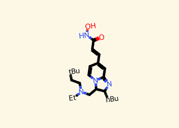 CCCCC1N=C2C=C(/C=C/C(=O)NO)C=CN2C1CN(CC)CCC(C)(C)C